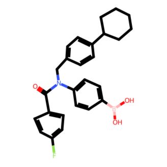 O=C(c1ccc(F)cc1)N(Cc1ccc(C2CCCCC2)cc1)c1ccc(B(O)O)cc1